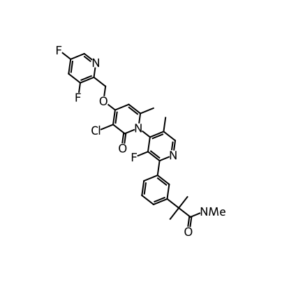 CNC(=O)C(C)(C)c1cccc(-c2ncc(C)c(-n3c(C)cc(OCc4ncc(F)cc4F)c(Cl)c3=O)c2F)c1